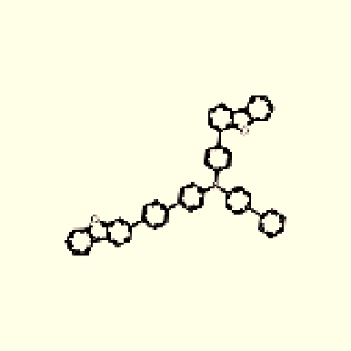 c1ccc(-c2ccc(N(c3ccc(-c4ccc(-c5ccc6c(c5)oc5ccccc56)cc4)cc3)c3ccc(-c4cccc5c4oc4ccccc45)cc3)cc2)cc1